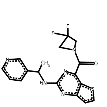 CC(Nc1nc(C(=O)N2CC(F)(F)C2)c2sccc2n1)c1cccnc1